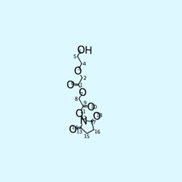 O=C(COCCO)OCC(=O)ON1C(=O)CCC1=O